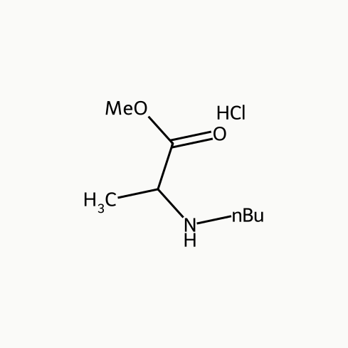 CCCCNC(C)C(=O)OC.Cl